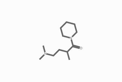 CC(CCN(C)C)C(=O)N1CCCCC1